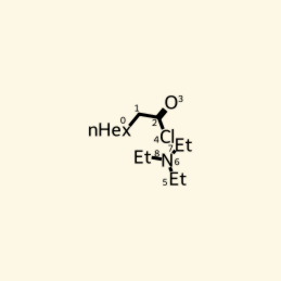 CCCCCCCC(=O)Cl.CCN(CC)CC